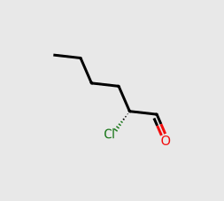 CCCC[C@@H](Cl)C=O